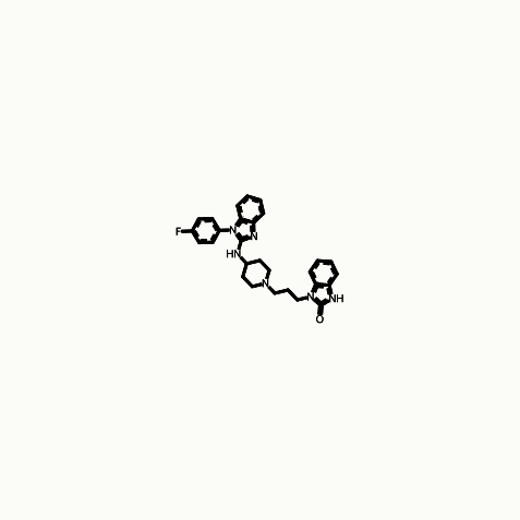 O=c1[nH]c2ccccc2n1CCCN1CCC(Nc2nc3ccccc3n2-c2ccc(F)cc2)CC1